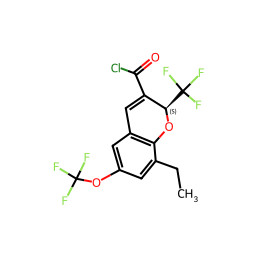 CCc1cc(OC(F)(F)F)cc2c1O[C@H](C(F)(F)F)C(C(=O)Cl)=C2